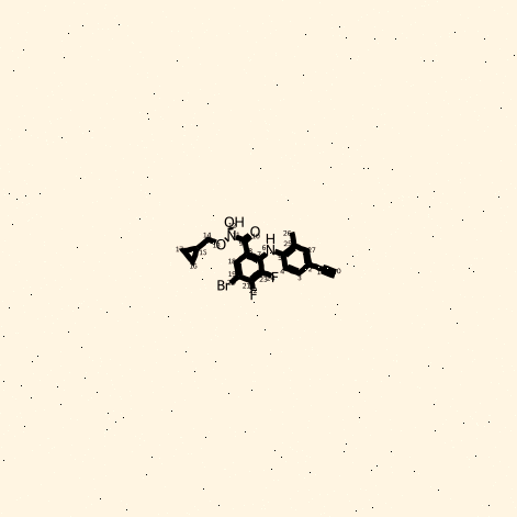 C#Cc1ccc(Nc2c(C(=O)N(O)OCC3CC3)cc(Br)c(F)c2F)c(C)c1